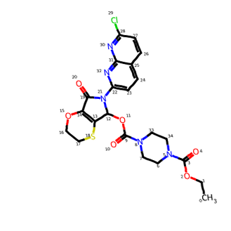 CCOC(=O)N1CCN(C(=O)OC2C3=C(OCCS3)C(=O)N2c2ccc3ccc(Cl)nc3n2)CC1